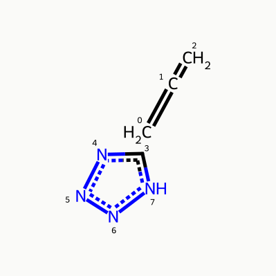 C=C=C.c1nnn[nH]1